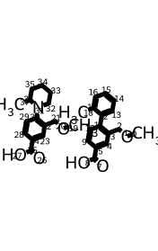 COCc1cc(C(=O)O)ccc1-c1ccccc1C.COCc1cc(C(=O)O)ccc1N1CCCCC1C